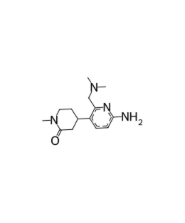 CN(C)Cc1nc(N)ccc1C1CCN(C)C(=O)C1